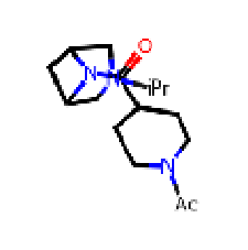 CC(=O)N1CCC(C(=O)N2C3CC2CN(C(C)C)C3)CC1